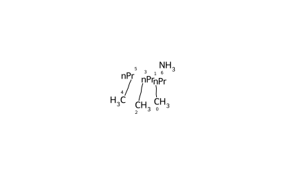 CCCC.CCCC.CCCC.N